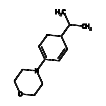 CC(C)C1C=CC(N2CCOCC2)=CC1